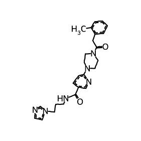 Cc1ccccc1CC(=O)N1CCN(c2ccc(C(=O)NCCCn3ccnc3)cn2)CC1